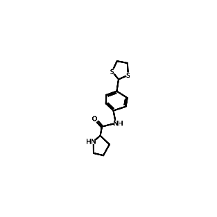 O=C(Nc1ccc(C2SCCS2)cc1)C1CCCN1